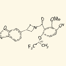 COc1c(C#N)ccc(O[C@@H](C)C(F)(F)F)c1C(=O)N1CC(c2ccc3ncoc3c2)C1